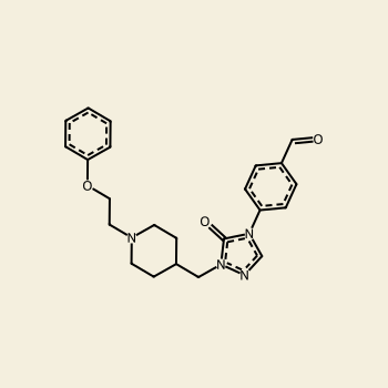 O=Cc1ccc(-n2cnn(CC3CCN(CCOc4ccccc4)CC3)c2=O)cc1